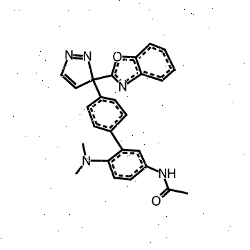 CC(=O)Nc1ccc(N(C)C)c(-c2ccc(C3(c4nc5ccccc5o4)C=CN=N3)cc2)c1